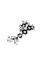 COc1cc(-c2cc(O[C@H](C)C3CNC(=O)C3)c3scnc3c2)ccc1N1CCN(C(=O)OC(C)(C)C)CC1